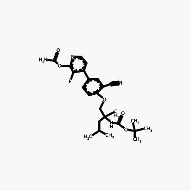 CC(C)CC(C)(COc1ccc(-c2ccnc(OC(N)=O)c2F)cc1C#N)NC(=O)OC(C)(C)C